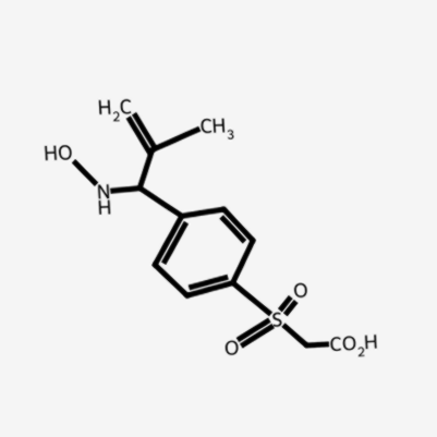 C=C(C)C(NO)c1ccc(S(=O)(=O)CC(=O)O)cc1